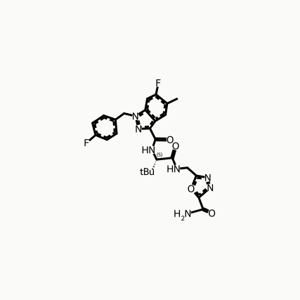 Cc1cc2c(C(=O)N[C@H](C(=O)NCc3nnc(C(N)=O)o3)C(C)(C)C)nn(Cc3ccc(F)cc3)c2cc1F